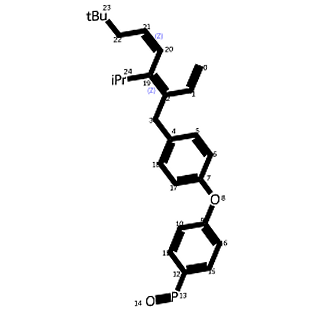 C=C/C(Cc1ccc(Oc2ccc(P=O)cc2)cc1)=C(\C=C/CC(C)(C)C)C(C)C